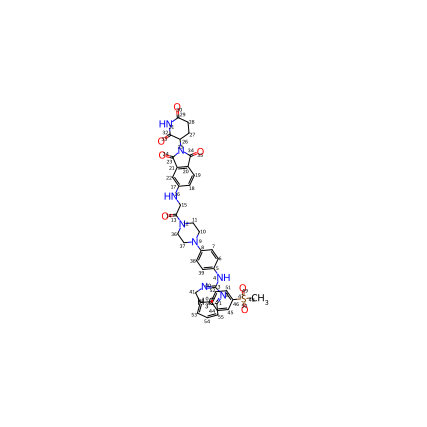 CC1=N\C(Nc2ccc(N3CCN(C(=O)CNc4ccc5c(c4)C(=O)N(C4CCC(=O)NC4=O)C5=O)CC3)cc2)=N/C/C(c2ccc(S(C)(=O)=O)cc2)=C/C=C\1